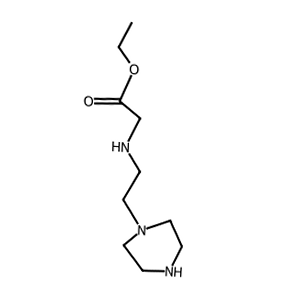 CCOC(=O)CNCCN1CCNCC1